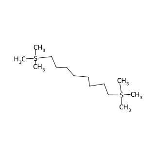 CS(C)(C)CCCCCCCCS(C)(C)C